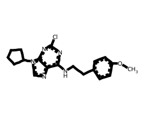 COc1ccc(CCNc2nc(Cl)nc3c2ncn3C2CCCC2)cc1